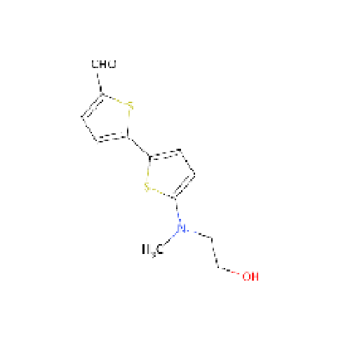 CN(CCO)c1ccc(-c2ccc(C=O)s2)s1